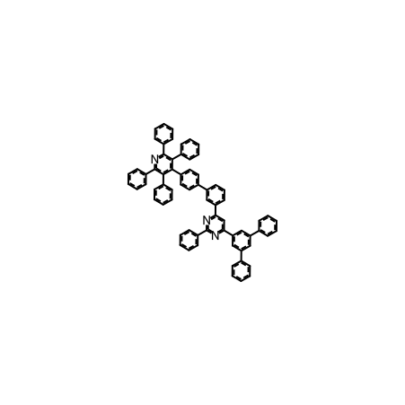 c1ccc(-c2cc(-c3ccccc3)cc(-c3cc(-c4cccc(-c5ccc(-c6c(-c7ccccc7)c(-c7ccccc7)nc(-c7ccccc7)c6-c6ccccc6)cc5)c4)nc(-c4ccccc4)n3)c2)cc1